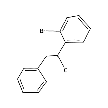 Cl[C](Cc1ccccc1)c1ccccc1Br